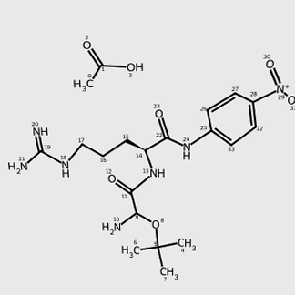 CC(=O)O.CC(C)(C)OC(N)C(=O)N[C@@H](CCCNC(=N)N)C(=O)Nc1ccc([N+](=O)[O-])cc1